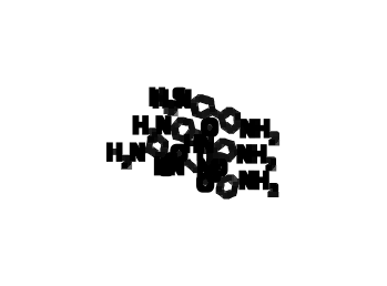 Nc1ccc(-c2ccc(N)cc2)cc1.Nc1ccc(NC(=O)c2ccc(N)cc2)cc1.Nc1cccc(S(=O)(=O)NCCNS(=O)(=O)c2cccc(N)c2)c1.S